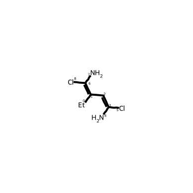 CCC(/C=C(\N)Cl)=C(/N)Cl